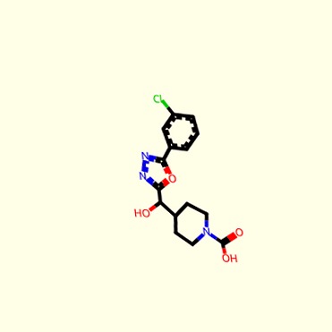 O=C(O)N1CCC(C(O)c2nnc(-c3cccc(Cl)c3)o2)CC1